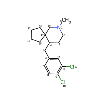 CN1CCC(Cc2ccc(Cl)c(Cl)c2)C2(CCCC2)C1